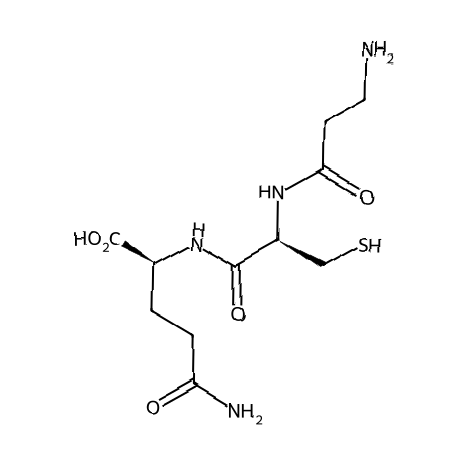 NCCC(=O)N[C@@H](CS)C(=O)N[C@@H](CCC(N)=O)C(=O)O